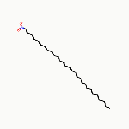 CCCCCCCCCCCCCCCCCCCCCCCCCCCCC[N+](=O)[O-]